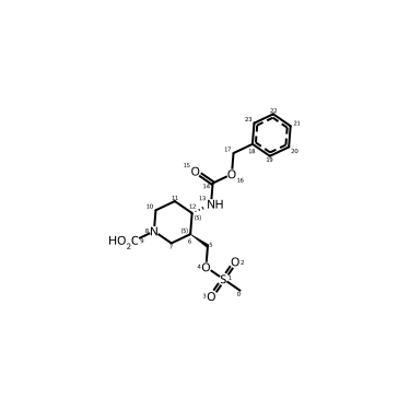 CS(=O)(=O)OC[C@H]1CN(C(=O)O)CC[C@@H]1NC(=O)OCc1ccccc1